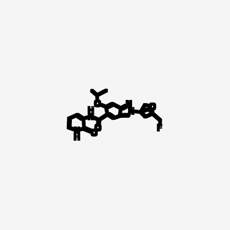 CC(C)Oc1cc2nn(C34COC(CF)(C3)C4)cc2cc1C(=O)Nc1ccc[nH]c1=O